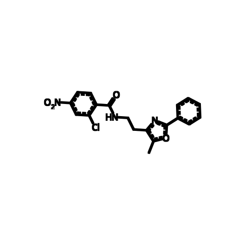 Cc1oc(-c2ccccc2)nc1CCNC(=O)c1ccc([N+](=O)[O-])cc1Cl